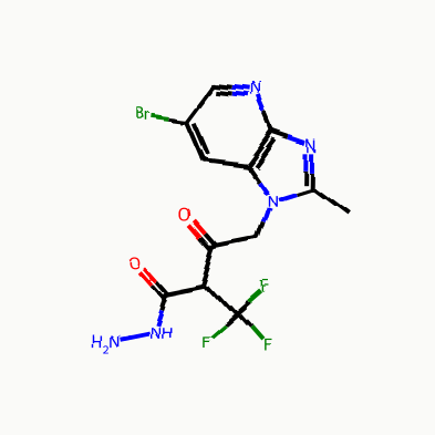 Cc1nc2ncc(Br)cc2n1CC(=O)C(C(=O)NN)C(F)(F)F